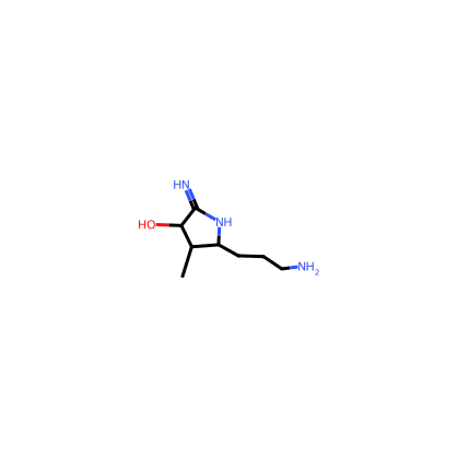 CC1C(CCCN)NC(=N)C1O